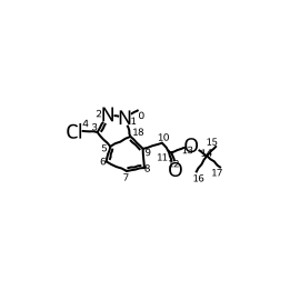 Cn1nc(Cl)c2cccc(CC(=O)OC(C)(C)C)c21